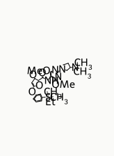 CC[Si](C)(C)c1cccc(OC2=CC(=O)C(C(=O)Nc3c(OC)nc(N4CCC(N(C)C)C4)nc3OC)O2)c1